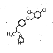 C/C(=C/c1ccc(OCc2ccc(Cl)cc2Cl)cc1)Cn1ccnc1